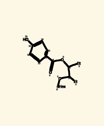 CCCCCCOC(CC)C(CC)OC(=O)c1ccc(O)cc1